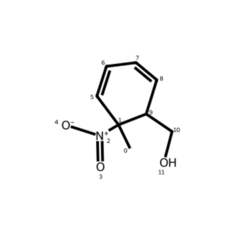 CC1([N+](=O)[O-])C=CC=CC1CO